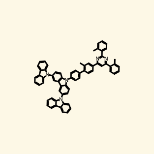 Cc1cc(-c2cc(-c3ccccc3C)nc(-c3ccccc3C)n2)ccc1-c1ccc(-n2c3ccc(-n4c5ccccc5c5ccccc54)cc3c3cc(-n4c5ccccc5c5ccccc54)ccc32)cc1